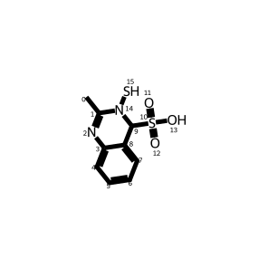 CC1=Nc2ccccc2C(S(=O)(=O)O)N1S